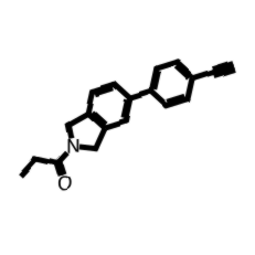 C#Cc1ccc(-c2ccc3c(c2)CN(C(=O)CC)C3)cc1